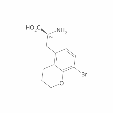 N[C@@H](Cc1ccc(Br)c2c1CCCO2)C(=O)O